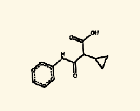 O=C(O)C(C(=O)Nc1ccccc1)C1CC1